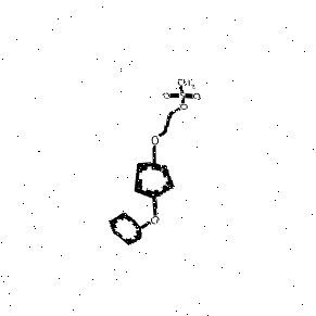 CS(=O)(=O)OCCOc1ccc(Oc2ccccc2)cc1